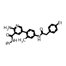 CCc1ccc(CC(=O)Nc2ccc(-c3cnc(N)c(C(=O)NC(C)C)c3)c(C)c2)cc1